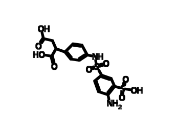 Nc1ccc(S(=O)(=O)Nc2ccc(C(CC(=O)O)C(=O)O)cc2)cc1S(=O)(=O)O